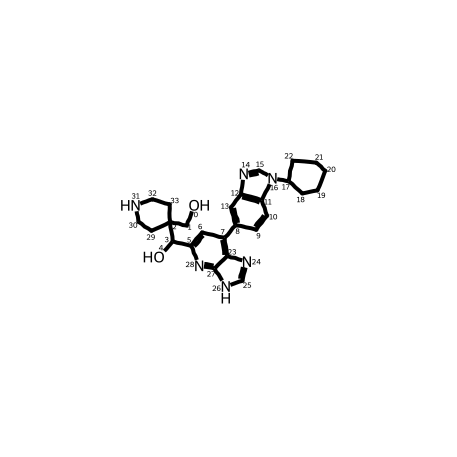 OCC1(C(O)c2cc(-c3ccc4c(c3)ncn4C3CCCCC3)c3nc[nH]c3n2)CCNCC1